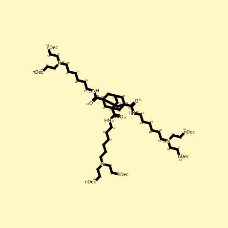 CCCCCCCCCCCCN(CCCCCCCCCCCC)CCCCCCNC(=O)C12CC3CC(C(=O)NCCCCCCN(CCCCCCCCCCCC)CCCCCCCCCCCC)(C1)CC(C(=O)NCCCCCCN(CCCCCCCCCCCC)CCCCCCCCCCCC)(C3)C2